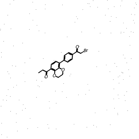 CCC(=O)c1ccc(-c2ccc(C(=O)CBr)cc2)c2c1OCCO2